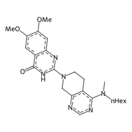 CCCCCCN(C)c1ncnc2c1CCN(c1nc3cc(OC)c(OC)cc3c(=O)[nH]1)C2